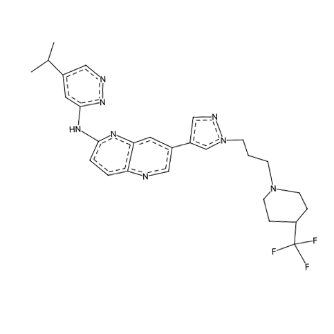 CC(C)c1cnnc(Nc2ccc3ncc(-c4cnn(CCCN5CCC(C(F)(F)F)CC5)c4)cc3n2)c1